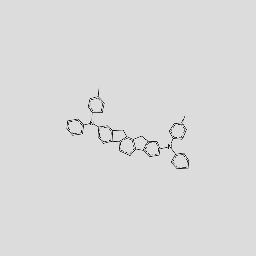 Cc1ccc(N(c2ccccc2)c2ccc3c(c2)Cc2c-3ccc3c2Cc2cc(N(c4ccccc4)c4ccc(C)cc4)ccc2-3)cc1